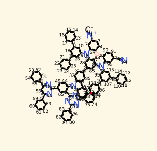 [C-]#[N+]c1ccc2c(c1)N(c1cc(-c3ccccc3)cc(-c3ccccc3)c1)c1cc(-c3ccc4c(c3)c3ccccc3n4-c3ccc(-c4nc(-c5ccccc5)cc(-c5ccccc5)n4)cc3-c3nc(-c4ccccc4)nc(-c4ccccc4)n3)cc3c1B2c1ccc(C#N)cc1N3c1cc(-c2ccccc2)cc(-c2ccccc2)c1